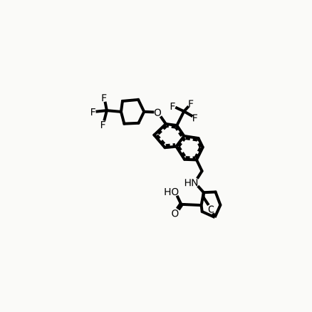 O=C(O)C1CC2CCC1(NCc1ccc3c(C(F)(F)F)c(OC4CCC(C(F)(F)F)CC4)ccc3c1)CC2